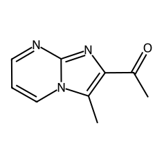 CC(=O)c1nc2ncccn2c1C